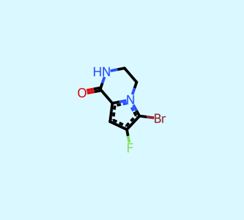 O=C1NCCn2c1cc(F)c2Br